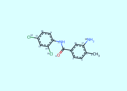 Cc1ccc(C(=O)Nc2ccc(Cl)cc2Cl)cc1N